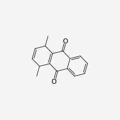 CC1C=CC(C)C2=C1C(=O)c1ccccc1C2=O